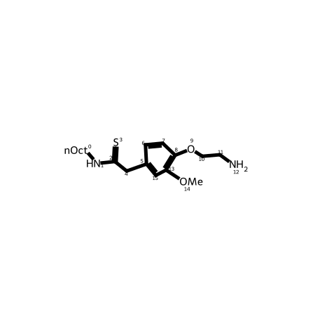 CCCCCCCCNC(=S)Cc1ccc(OCCN)c(OC)c1